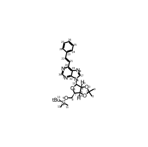 CC1(C)O[C@@H]2[C@H](O1)[C@@H](CO[Si](C)(C)C(C)(C)C)O[C@H]2n1cnc2c(C=Cc3ccccc3)ncnc21